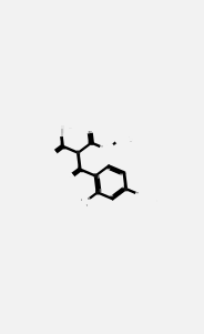 CC(C)C(=O)C(C(=O)OC(C)(C)C)C(=O)c1ccc(C(F)(F)F)cc1[N+](=O)[O-]